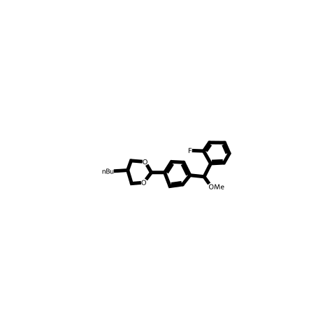 CCCCC1COC(c2ccc(C(OC)c3ccccc3F)cc2)OC1